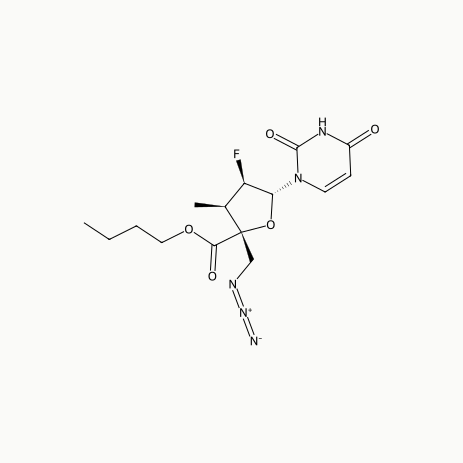 CCCCOC(=O)[C@@]1(CN=[N+]=[N-])O[C@@H](n2ccc(=O)[nH]c2=O)[C@H](F)[C@@H]1C